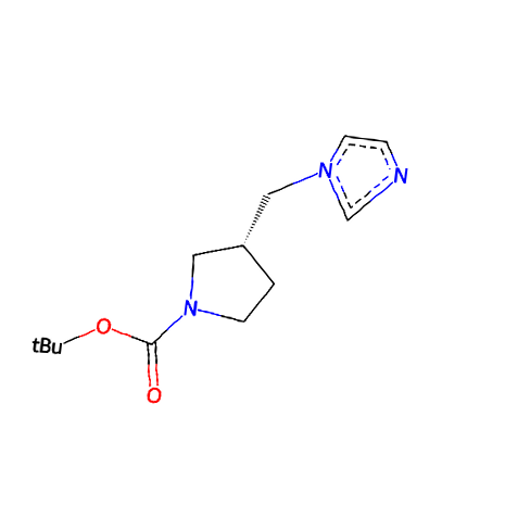 CC(C)(C)OC(=O)N1CC[C@@H](Cn2ccnc2)C1